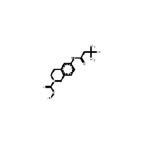 CC(C)(O)CC(=O)Nc1ccc2c(c1)CCN(C(=O)OC(C)(C)C)C2